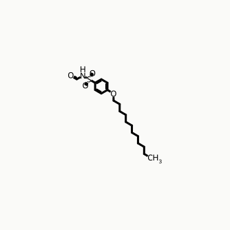 CCCCCCCCCCCCOc1ccc(S(=O)(=O)NC=O)cc1